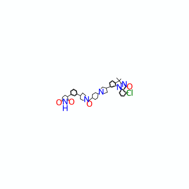 CC1(C)c2ccc(C3CCN(C4CCC(C(=O)N5CCC(c6cccc(C7CCC(=O)NC7=O)c6)CC5)CC4)CC3)cc2-n2c1nc(=O)c1c(Cl)cccc12